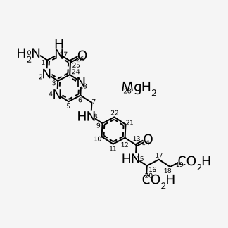 Nc1nc2ncc(CNc3ccc(C(=O)NC(CCC(=O)O)C(=O)O)cc3)nc2c(=O)[nH]1.[MgH2]